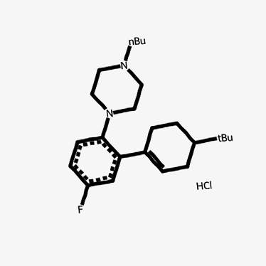 CCCCN1CCN(c2ccc(F)cc2C2=CCC(C(C)(C)C)CC2)CC1.Cl